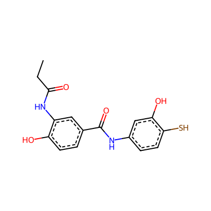 CCC(=O)Nc1cc(C(=O)Nc2ccc(S)c(O)c2)ccc1O